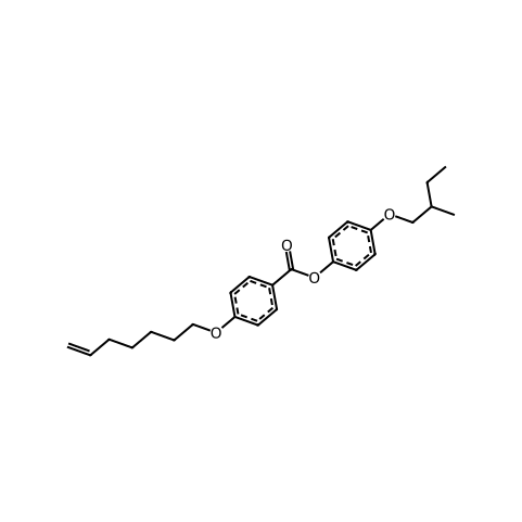 C=CCCCCCOc1ccc(C(=O)Oc2ccc(OCC(C)CC)cc2)cc1